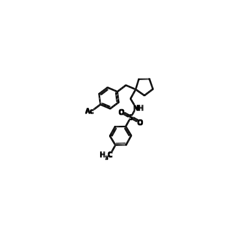 CC(=O)c1ccc(CC2(CNS(=O)(=O)c3ccc(C)cc3)CCCC2)cc1